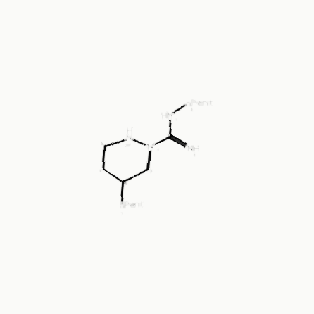 CCCCCNC(=N)N1CC(CCCCC)CCN1